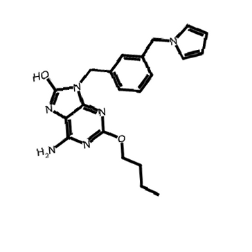 CCCCOc1nc(N)c2nc(O)n(Cc3cccc(Cn4cccc4)c3)c2n1